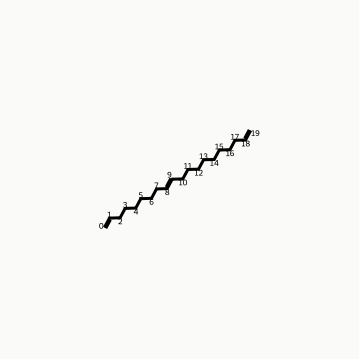 C=CCCCCCCC=CCCCCCCCCC=C